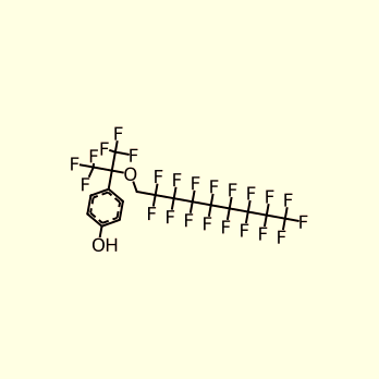 Oc1ccc(C(OCC(F)(F)C(F)(F)C(F)(F)C(F)(F)C(F)(F)C(F)(F)C(F)(F)C(F)(F)F)(C(F)(F)F)C(F)(F)F)cc1